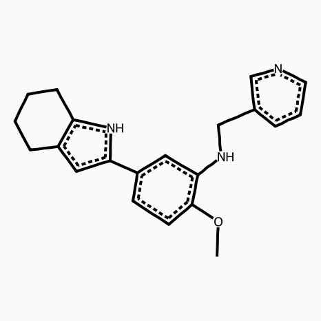 COc1ccc(-c2cc3c([nH]2)CCCC3)cc1NCc1cccnc1